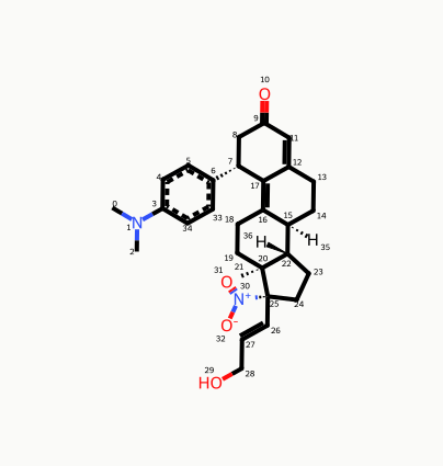 CN(C)c1ccc([C@@H]2CC(=O)C=C3CC[C@@H]4C(=C32)CC[C@@]2(C)[C@H]4CC[C@]2(/C=C/CO)[N+](=O)[O-])cc1